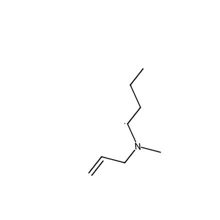 C=CCN(C)[CH]CCC